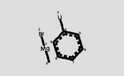 [CH3][Mg][Br].[Li][c]1ccccc1